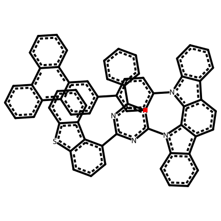 c1ccc(-c2nc(-c3cccc4sc5ccccc5c34)nc(-n3c4ccccc4c4ccc5c6ccccc6n(-c6ccc(-c7ccc8c9ccccc9c9ccccc9c8c7)cc6)c5c43)n2)cc1